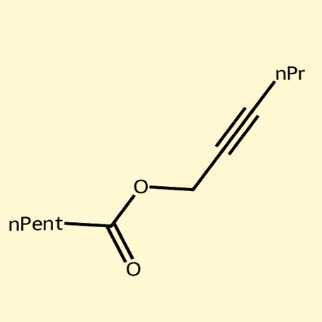 CCCC#CCOC(=O)CCCCC